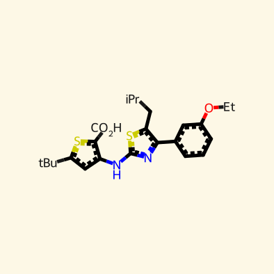 CCOc1cccc(-c2nc(Nc3cc(C(C)(C)C)sc3C(=O)O)sc2CC(C)C)c1